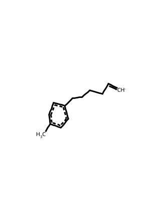 [CH]=CCCCCc1ccc(C)cc1